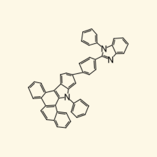 c1ccc(-n2c(-c3ccc(-c4ccc5c6c7ccccc7c7ccc8ccccc8c7c6n(-c6ccccc6)c5c4)cc3)nc3ccccc32)cc1